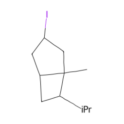 CC(C)C1CC2CC(I)CC21C